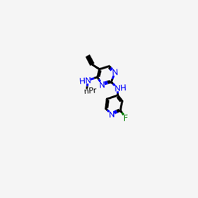 C#Cc1cnc(Nc2ccnc(F)c2)nc1NCCC